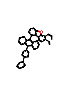 C=Cc1ccc2c(oc3cccc(-c4c5ccccc5c(-c5ccc(-c6ccccc6)cc5)c5ccccc45)c32)c1/C=C\C